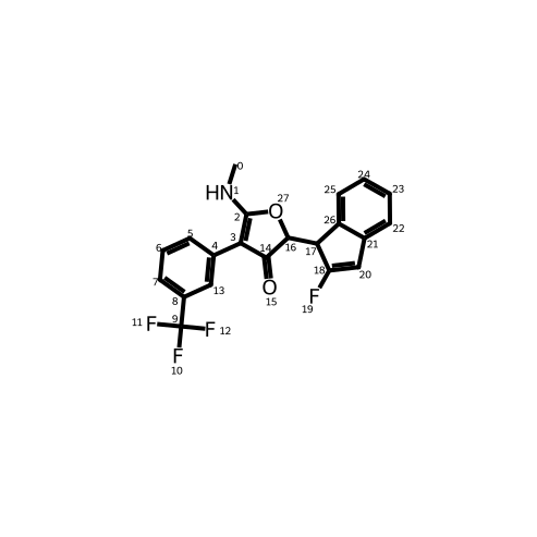 CNC1=C(c2cccc(C(F)(F)F)c2)C(=O)C(C2C(F)=Cc3ccccc32)O1